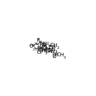 CC(=O)OCC(=O)[C@@]1(O)[C@H](C)C[C@H]2[C@@H]3C[C@H](F)C4=CC(=O)C=C[C@]4(C)[C@@]3(Cl)[C@@H](Cl)C[C@@]21C